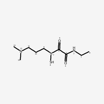 CCNC(=O)C(=O)N(S)CCCN(C)C